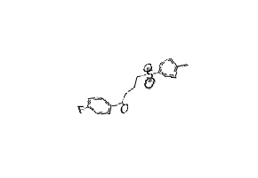 Cc1ccc(S(=O)(=O)CCCC(=O)c2ccc(F)cc2)cc1